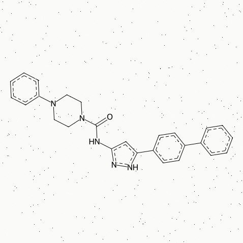 O=C(Nc1cc(-c2ccc(-c3ccccc3)cc2)[nH]n1)N1CCN(c2ccccc2)CC1